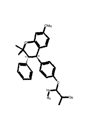 CCC(C)NC(Oc1ccc([C@@H]2c3ccc(OC)cc3OC(C)(C)[C@H]2c2ccccc2)cc1)C(C)O